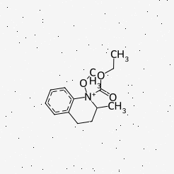 CCOC(=O)[N+]1(OC)c2ccccc2CCC1C